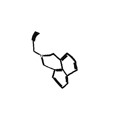 C#CCN1Cc2cccc3cccc(c23)C1